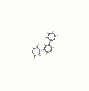 CC1CCC(C)N(c2[c]ccc(-c3ccccc3)c2)C1